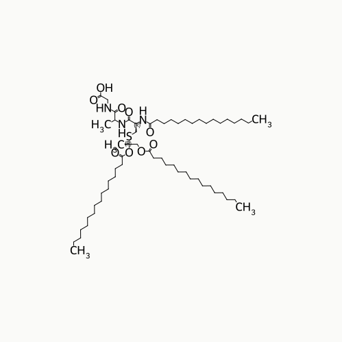 CCCCCCCCCCCCCCCC(=O)N[C@@H](CS[C@](C)(COC(=O)CCCCCCCCCCCCCCC)OC(=O)CCCCCCCCCCCCCCC)C(=O)NC(C)C(=O)NCC(=O)O